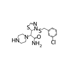 NC(=O)C(C1SC=NN1SCc1cccc(Cl)c1)N1CCNCC1